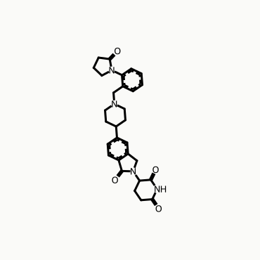 O=C1CCC(N2Cc3cc(C4CCN(Cc5ccccc5N5CCCC5=O)CC4)ccc3C2=O)C(=O)N1